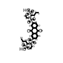 CCCC(N(CC)S(=O)(=O)c1ccc2c(c1)C(=O)c1cc(S(=O)(=O)N(CC)C(CCC)S(=O)(=O)O)ccc1C2=O)S(=O)(=O)O